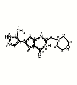 Cc1[nH]ncc1-c1cc2nc(CN3CCOCC3)[nH]c(=O)c2s1